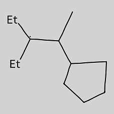 CC[C](CC)C(C)C1CCCC1